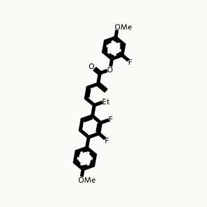 C=C(/C=C\C(CC)C1=CCC(c2ccc(OC)cc2)C(F)=C1F)C(=O)Oc1ccc(OC)cc1F